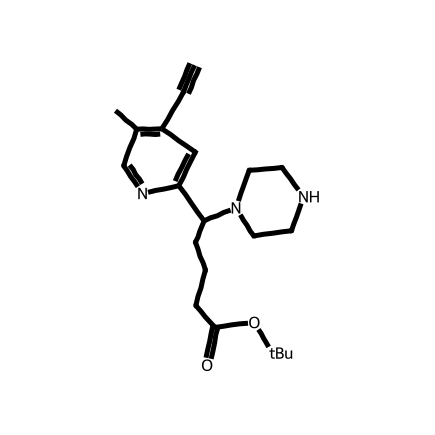 C#Cc1cc(C(CCCC(=O)OC(C)(C)C)N2CCNCC2)ncc1C